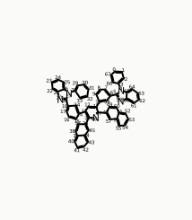 c1ccc(-n2c(-c3cccc(-c4cc(-c5cccc(-c6nc7ccccc7n6-c6ccccc6)c5)c(-c5ccc6ccccc6c5)nc4-c4ccc5ccccc5c4)c3)nc3ccccc32)cc1